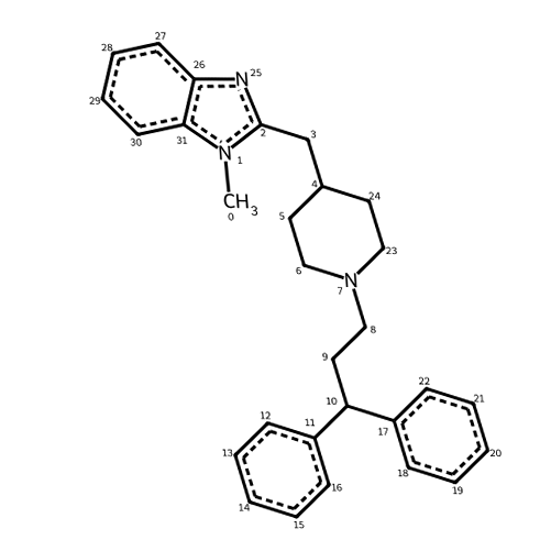 Cn1c(CC2CCN(CCC(c3ccccc3)c3ccccc3)CC2)nc2ccccc21